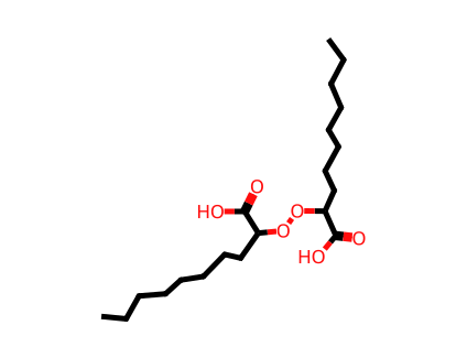 CCCCCCCCC(OOC(CCCCCCCC)C(=O)O)C(=O)O